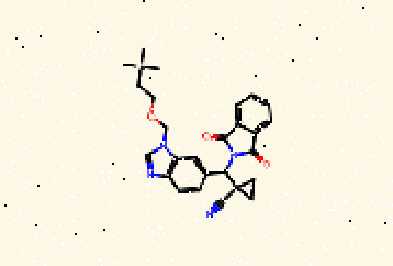 C[Si](C)(C)CCOCn1cnc2ccc(C(N3C(=O)c4ccccc4C3=O)C3(C#N)CC3)cc21